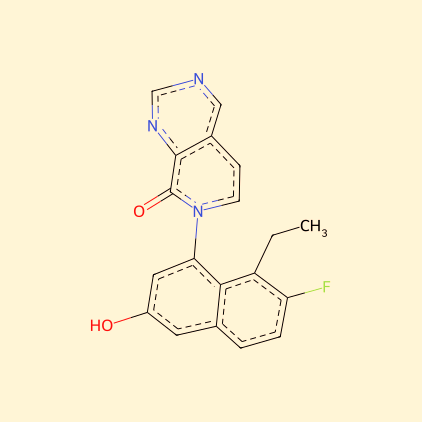 CCc1c(F)ccc2cc(O)cc(-n3ccc4cncnc4c3=O)c12